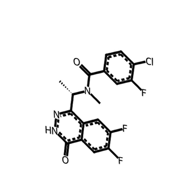 C[C@@H](c1n[nH]c(=O)c2cc(F)c(F)cc12)N(C)C(=O)c1ccc(Cl)c(F)c1